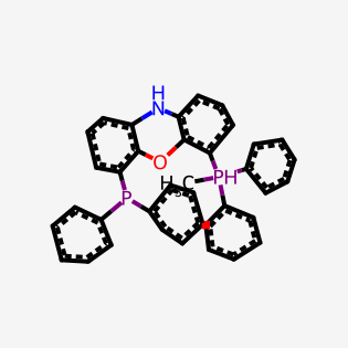 C[PH](c1ccccc1)(c1ccccc1)c1cccc2c1Oc1c(cccc1P(c1ccccc1)c1ccccc1)N2